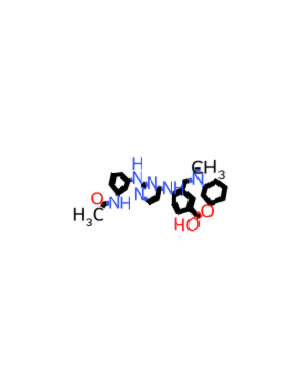 CC(=O)Nc1cccc(Nc2nccc(Nc3ccc(C(=O)O)cc3CN(C)C3CCCCC3)n2)c1